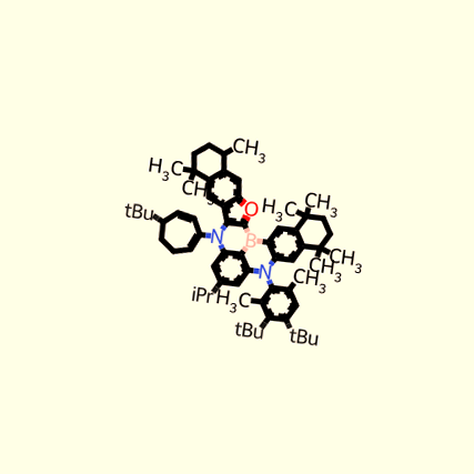 Cc1cc(C(C)(C)C)c(C(C)(C)C)c(C)c1N1c2cc3c(cc2B2c4oc5cc6c(cc5c4N(C4=CCCC(C(C)(C)C)C=C4)c4cc(C(C)C)cc1c42)C(C)(C)CCC6C)C(C)(C)CCC3(C)C